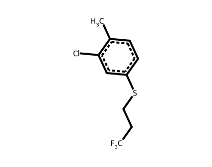 Cc1ccc(SCCC(F)(F)F)cc1Cl